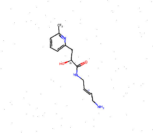 NC/C=C/CNC(=O)[C@@H](O)Cc1cccc(C(F)(F)F)n1